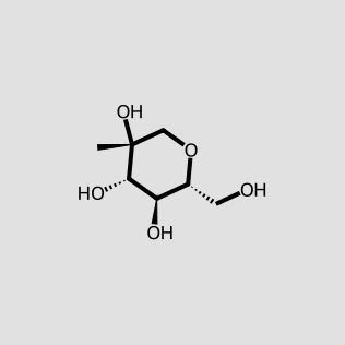 C[C@@]1(O)CO[C@H](CO)[C@@H](O)[C@@H]1O